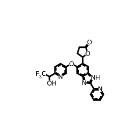 O=C1CCC(c2cc3[nH]c(-c4ccccn4)nc3cc2Oc2ccc(C(O)C(F)(F)F)nc2)O1